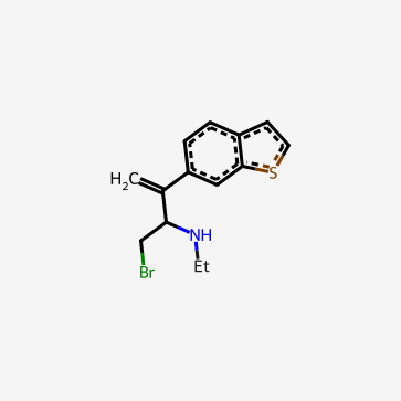 C=C(c1ccc2ccsc2c1)C(CBr)NCC